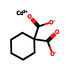 O=C([O-])C1(C(=O)[O-])CCCCC1.[Cd+2]